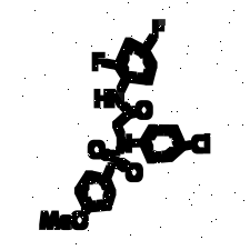 COc1ccc(S(=O)(=O)N(CC(=O)Nc2ccc(F)cc2F)c2ccc(Cl)cc2)cc1